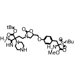 CCCCS(=O)(=O)C(N)(Cc1ccc(OCC2CN(CCC(C(=N)N)(C(=O)OC(C)(C)C)N3CCNCC3)C(=O)O2)cc1)C(=O)OC